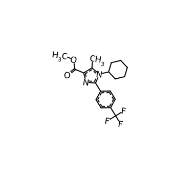 COC(=O)c1nc(-c2ccc(C(F)(F)F)cc2)n(C2CCCCC2)c1C